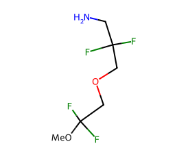 COC(F)(F)COCC(F)(F)CN